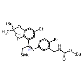 CCc1cc(O[Si](C)(C)C(C)(C)C)c(F)c(/C([C]SC)=N\c2ccc(Br)c(CNC(=O)OC(C)(C)C)c2)c1